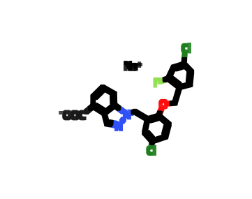 O=C([O-])c1cccc2c1cnn2Cc1cc(Cl)ccc1OCc1ccc(Cl)cc1F.[Na+]